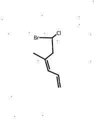 C=C/C=C(/C)CC(Cl)Br